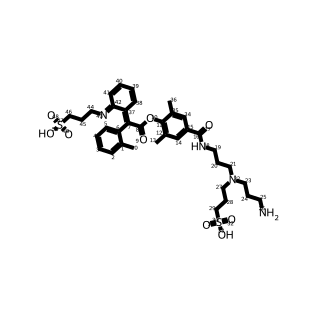 Cc1ccccc1/C(C(=O)Oc1c(C)cc(C(=O)NCCCN(CCCN)CCCS(=O)(=O)O)cc1C)=C1/C=CC=C/C1=N\CCCS(=O)(=O)O